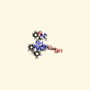 CCN(CC)C(=O)[C@]1(c2ccccc2)C[C@@H]1CN.OCCOCCN1CCN(C2=Nc3ccccc3Sc3ccccc32)CC1